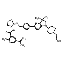 C=C(C)c1cnc(N)c(C(=O)N[C@H]2CCC[C@@H]2OCc2ccc(-c3ccc4c(c3)C(C)(C)CN4C3CCN(CCO)CC3)cc2)c1